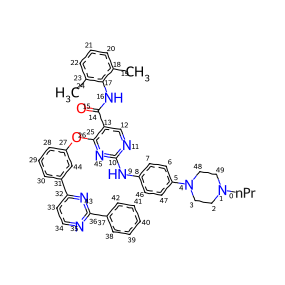 CCCN1CCN(c2ccc(Nc3ncc(C(=O)Nc4c(C)cccc4C)c(Oc4cccc(-c5ccnc(-c6ccccc6)n5)c4)n3)cc2)CC1